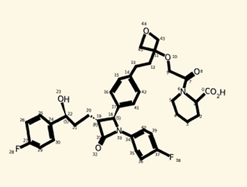 O=C(O)C1CCCCN1C(=O)COC1(CCc2ccc([C@@H]3[C@@H](CC[C@H](O)c4ccc(F)cc4)C(=O)N3c3ccc(F)cc3)cc2)COC1